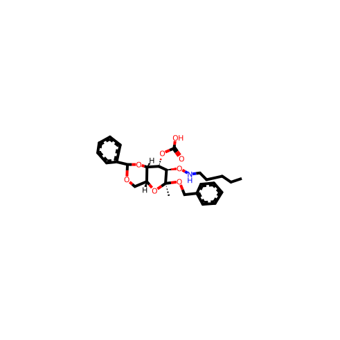 CCCCCNO[C@@H]1[C@@H](OC(=O)O)[C@@H]2OC(c3ccccc3)OC[C@H]2O[C@]1(C)OCc1ccccc1